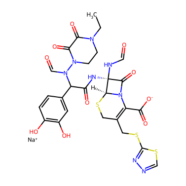 CCN1CCN(N(C=O)C(C(=O)N[C@]2(NC=O)C(=O)N3C(C(=O)[O-])=C(CSc4nncs4)CS[C@H]32)c2ccc(O)c(O)c2)C(=O)C1=O.[Na+]